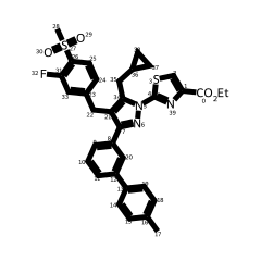 CCOC(=O)c1csc(-n2nc(-c3cccc(-c4ccc(C)cc4)c3)c(Cc3ccc(S(C)(=O)=O)c(F)c3)c2CC2CC2)n1